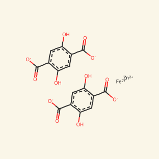 O=C([O-])c1cc(O)c(C(=O)[O-])cc1O.O=C([O-])c1cc(O)c(C(=O)[O-])cc1O.[Fe+2].[Zn+2]